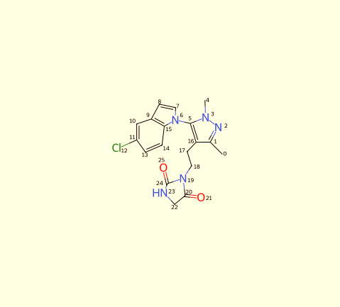 Cc1nn(C)c(-n2ccc3cc(Cl)ccc32)c1CCN1C(=O)CNC1=O